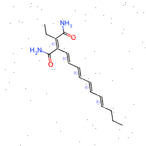 CCC/C=C/C=C/C=C/C=C/C(C(N)=O)=C(/CC)C(N)=O